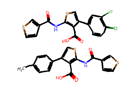 Cc1ccc(-c2csc(NC(=O)c3ccsc3)c2C(=O)O)cc1.O=C(Nc1scc(-c2ccc(Cl)c(Cl)c2)c1C(=O)O)c1ccsc1